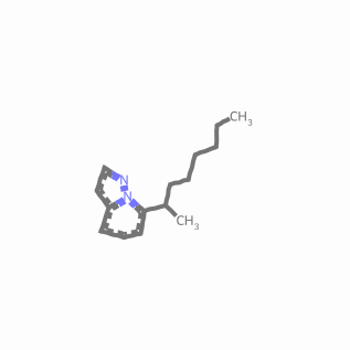 CCCCCCC(C)c1cccc2ccnn12